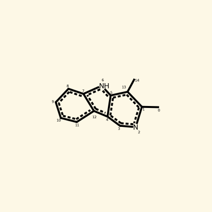 Cc1ncc2c([nH]c3ccccc32)c1C